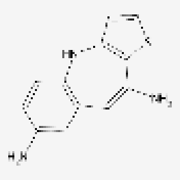 NC1=Cc2cc(N)ccc2Nc2ccsc21